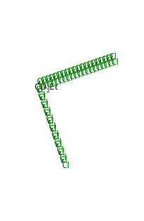 CCOC(C)=O.ClCCl.ClCCl.ClCCl.ClCCl.ClCCl.ClCCl.ClCCl.ClCCl.ClCCl.ClCCl.ClCCl.ClCCl.ClCCl.ClCCl.ClCCl.ClCCl.ClCCl.ClCCl.ClCCl.ClCCl.ClCCl.ClCCl.ClCCl.ClCCl.ClCCl.ClCCl.ClCCl.ClCCl.ClCCl.ClCCl